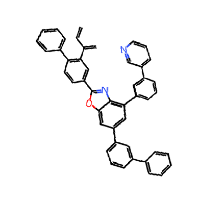 C=CC(=C)c1cc(-c2nc3c(-c4cccc(-c5cccnc5)c4)cc(-c4cccc(-c5ccccc5)c4)cc3o2)ccc1-c1ccccc1